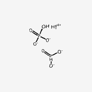 O=P([O-])([O-])O.O=[PH]([O-])[O-].[Hf+4]